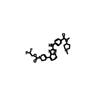 CN1CCC(N(C)C(=O)c2ccc(Nc3nc4c(C5=CCN(C(=O)OCC(F)F)CC5)cccn4n3)cc2)CC1